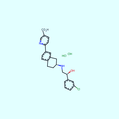 Cl.Cl.O=C(O)c1ccc(-c2ccc3c(c2)C[C@@H](NC[C@@H](O)c2cccc(Cl)c2)CC3)nc1